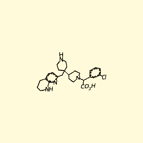 O=C(O)C(c1cccc(Cl)c1)N1CCC(C2(Cc3ccc4c(n3)NCCC4)CCNCC2)CC1